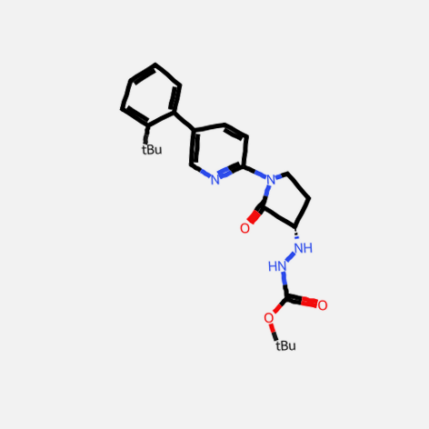 CC(C)(C)OC(=O)NN[C@H]1CCN(c2ccc(-c3ccccc3C(C)(C)C)cn2)C1=O